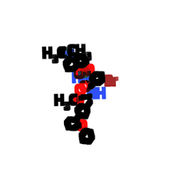 COC(=O)[C@H](Cc1ccc(-c2ccccc2Oc2ccccc2)cc1)NC(=O)c1cc(Br)ccc1NS(=O)(=O)c1cccc2c(N(C)C)cccc12